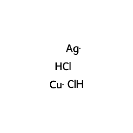 Cl.Cl.[Ag].[Cu]